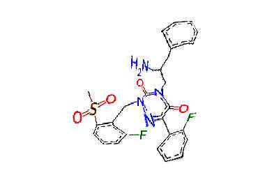 CS(=O)(=O)c1cccc(F)c1Cn1nc(-c2ccccc2F)c(=O)n(CC(N)c2ccccc2)c1=O